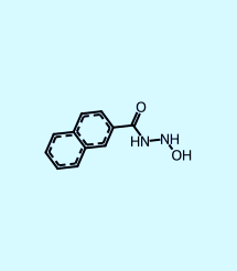 O=C(NNO)c1ccc2ccccc2c1